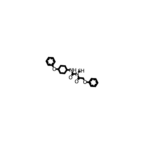 O=C(COc1ccccc1)N(S)C(=O)NC1CCC(Oc2ccccc2)CC1